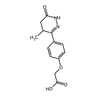 CC1CC(=O)NN=C1c1ccc(OCC(=O)O)cc1